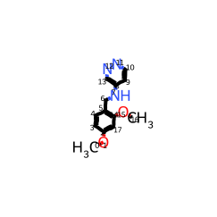 COc1ccc(CNc2ccnnc2)c(OC)c1